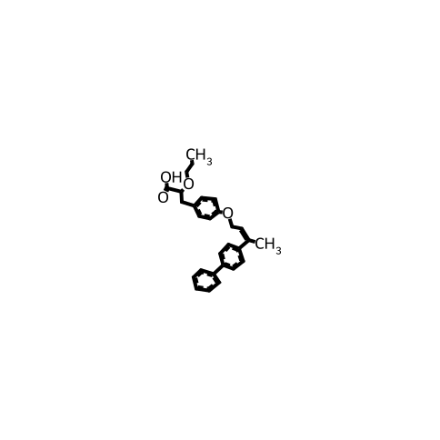 CCCOC(Cc1ccc(OC/C=C(/C)c2ccc(-c3ccccc3)cc2)cc1)C(=O)O